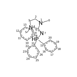 CN1CCN(C)C1=N[PH](c1ccccc1)(c1ccccc1)c1ccccc1